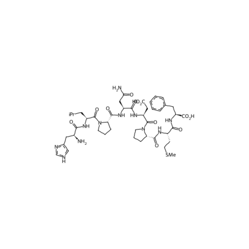 CSCC[C@H](NC(=O)[C@@H]1CCCN1C(=O)[C@H](CC(=O)O)NC(=O)[C@H](CC(N)=O)NC(=O)[C@@H]1CCCN1C(=O)[C@H](CC(C)C)NC(=O)[C@@H](N)Cc1c[nH]cn1)C(=O)N[C@@H](Cc1ccccc1)C(=O)O